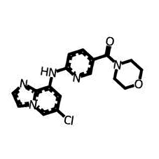 O=C(c1ccc(Nc2cc(Cl)cn3ccnc23)nc1)N1CCOCC1